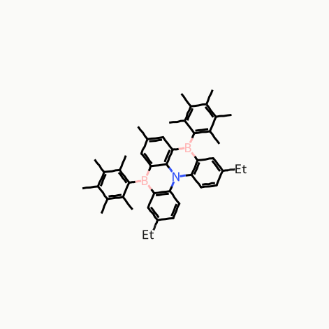 CCc1ccc2c(c1)B(c1c(C)c(C)c(C)c(C)c1C)c1cc(C)cc3c1N2c1ccc(CC)cc1B3c1c(C)c(C)c(C)c(C)c1C